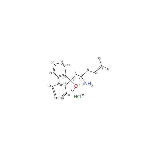 COC(CC(N)CC=C(C)C)(c1ccccc1)c1ccccc1.Cl